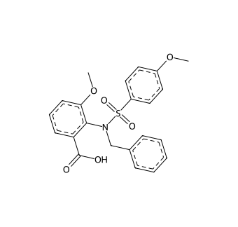 COc1ccc(S(=O)(=O)N(Cc2ccccc2)c2c(OC)cccc2C(=O)O)cc1